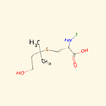 CC(C)(CCO)SC[C@H](NF)C(=O)O